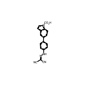 N#CC(C#N)=NNc1ccc(-c2ccc3c(ccn3C(=O)O)c2)cc1